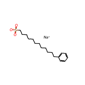 O=S(=O)([O-])CCCCCCCCCCCCc1ccccc1.[Na+]